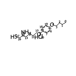 CCCCOc1ccc(OCCCCC(N)CS)cc1.Cl